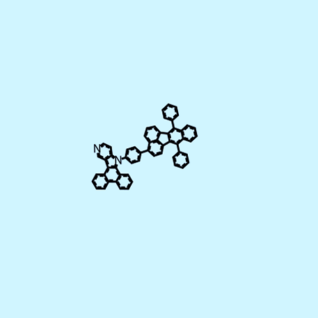 c1ccc(-c2c3c(c(-c4ccccc4)c4ccccc24)-c2ccc(-c4ccc(-n5c6ccncc6c6c7ccccc7c7ccccc7c65)cc4)c4cccc-3c24)cc1